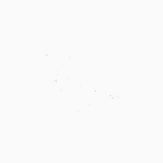 NCOc1cccc(OCC2(O)CCCCCC2)c1